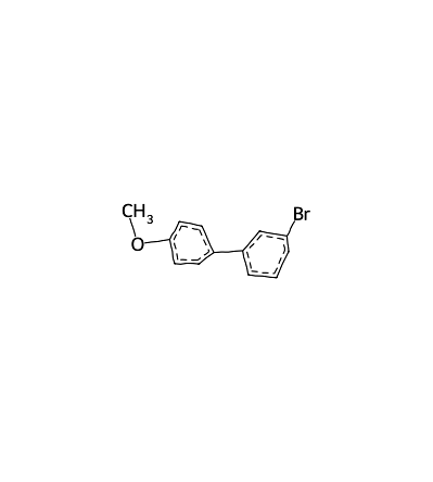 COc1ccc(-c2cccc(Br)c2)cc1